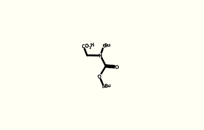 CCCCOC(=O)N(CC(=O)O)C(C)(C)C